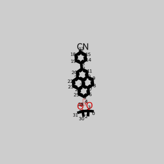 CC1(C)OB(c2cc3ccc4cc(-c5ccc(C#N)cc5)cc5ccc(c2)c3c45)OC1(C)C